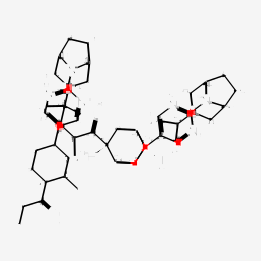 CCC(=O)C1CCC(c2cnc(N3C4CCC3CN(C(C)(C)CC(C)C(=O)[C@@H]3CC5CCC3C[C@@H]5c3cnc(N5C6CCC5CN(C(C)C)C6)nc3)C4)nc2)CC1C